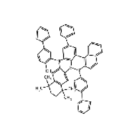 Cc1ccc(-c2ccccc2)cc1N1c2cc3c(cc2B2c4c(cc(-c5ccccc5)cc41)-c1c(ccc4ccccc14)N2c1ccc(-c2ccccc2)cc1)C(C)(C)CCC3(C)C